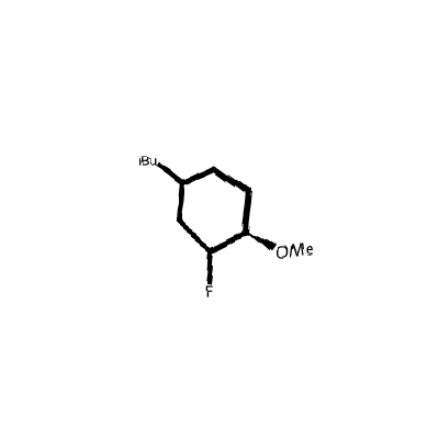 CCC(C)C1CC[C@@H](OC)C(F)C1